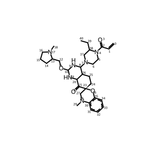 C=CC(=O)N1CCN(C2NC(OCC3CCCN3C)NC3C(=O)[C@@]4(CCC32)CN(C)c2ccccc2O4)CC1CC